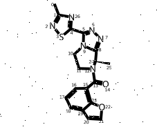 Cc1nsc(-c2nnc3n2CCN(C(=O)c2cccc4ccoc24)[C@@H]3C)n1